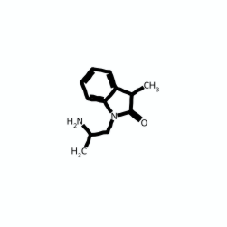 CC(N)CN1C(=O)C(C)c2ccccc21